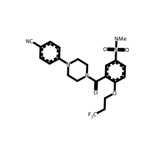 CNS(=O)(=O)c1ccc(OCCC(F)(F)F)c(C(=O)N2CCN(c3ccc(C#N)cc3)CC2)c1